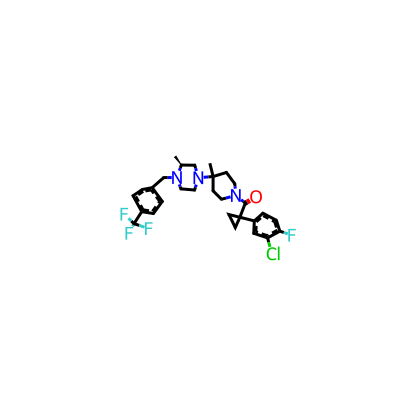 C[C@H]1CN(C2(C)CCN(C(=O)C3(c4ccc(F)c(Cl)c4)CC3)CC2)CCN1Cc1ccc(C(F)(F)F)cc1